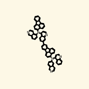 c1ccc2c(c1)-c1cccc3c(N(c4cccc5cnccc45)c4ccnc5cc(-c6ccc7c(c6)-c6cccc8c(N(c9ccc%10cnccc%10c9)c9ccnc%10ccccc9%10)ccc-7c68)ccc45)ccc-2c13